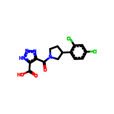 O=C(O)c1[nH]nnc1C(=O)N1CCC(c2ccc(Cl)cc2Cl)C1